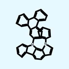 c1ccc(-n2ccc3ccc4c5ccccc5n(-c5ccc6c7ccccc7c7ccccc7c6c5)c4c32)cc1